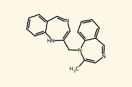 CC1=CN=Cc2ccccc2N1CC1=CN=Cc2ccccc2N1